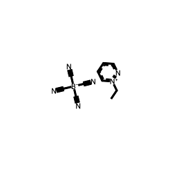 CC[n+]1ccccn1.N#C[B-](C#N)(C#N)C#N